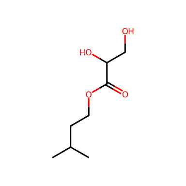 CC(C)CCOC(=O)C(O)CO